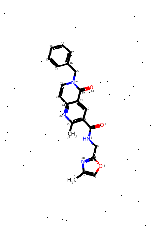 Cc1coc(CNC(=O)c2cc3c(=O)n(Cc4ccccc4)ccc3nc2C)n1